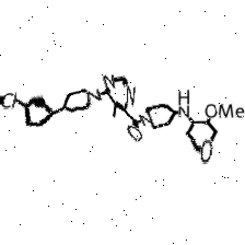 COC1COCCC1NC1CCN(C(=O)c2ncnc(N3CCC(c4ccc(Cl)cc4)CC3)c2C)CC1